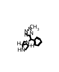 Cn1nnc(C(c2ccccc2)N2C[C@H]3C[C@@H]2CN3)n1